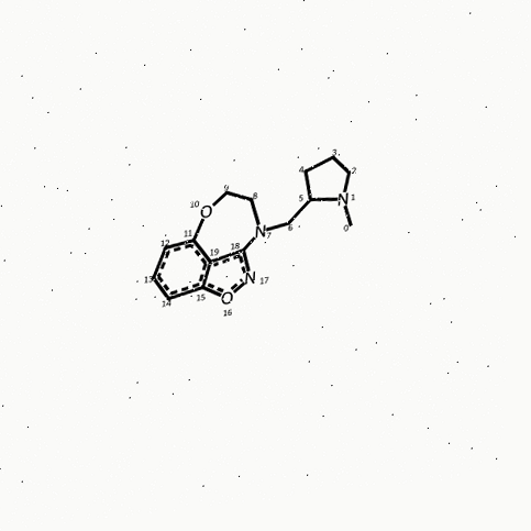 CN1CCCC1CN1CCOc2cccc3onc1c23